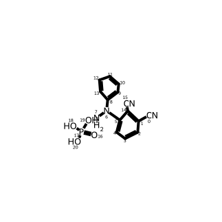 N#Cc1cccc(N(N)c2ccccc2)c1C#N.O=P(O)(O)O